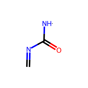 C=NC([NH])=O